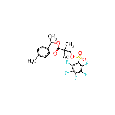 CC(=O)C(C)(COS(=O)(=O)c1c(F)c(F)c(F)c(F)c1F)C(=O)OC(C)c1ccc(C)cc1